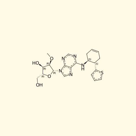 CO[C@@H]1[C@H](O)[C@@H](CO)O[C@H]1n1cnc2c(N[C@H]3CC=CC[C@@H]3c3cccs3)ncnc21